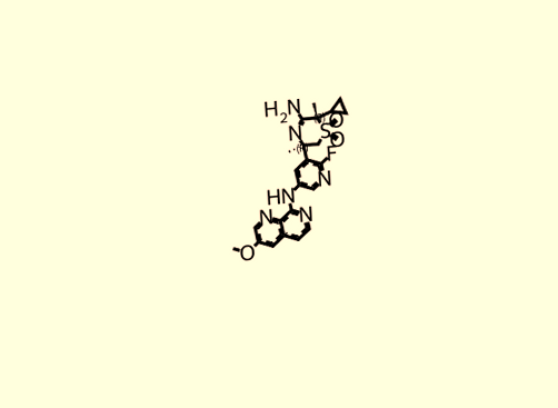 COc1cnc2c(Nc3cnc(F)c([C@]4(C)CS(=O)(=O)[C@@](C)(C5CC5)C(N)=N4)c3)nccc2c1